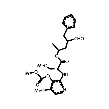 COC[C@H](Nc1nccc(OC)c1OC(=O)OC(C)C)C(=O)OC(C)CC(C=O)Cc1ccccc1